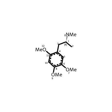 CN[C@H](C)Cc1cc(OC)c(OC)cc1OC